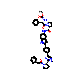 CC(C)OC(=O)N[C@@H](C(=O)N1CCC[C@H]1C(=O)Nc1ccc2[nH]c(-c3ccc(-c4cn(C)c([C@@H]5CCCN5C(=O)Cc5ccccc5)n4)cc3)cc2c1)c1ccccc1